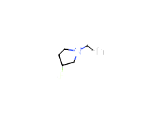 CC(C)CN1CC[C@H](F)C1